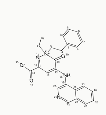 CC[N+]1(CCc2ccccc2)N=C(C(=O)[O-])C=C(Nc2cncc3ccccc23)C1=O